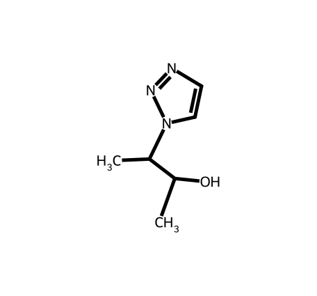 CC(O)C(C)n1ccnn1